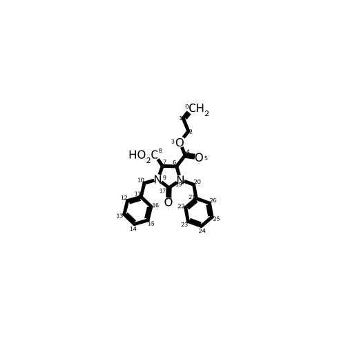 C=CCOC(=O)C1C(C(=O)O)N(Cc2ccccc2)C(=O)N1Cc1ccccc1